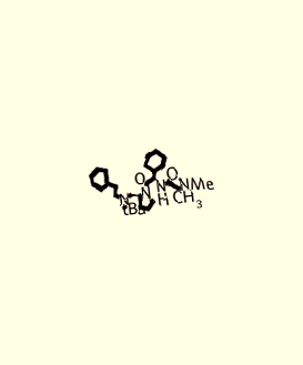 CN[C@@H](C)C(=O)N[C@H](C(=O)N1CCC[C@H]1CN(CCc1ccccc1)C(C)(C)C)C1CCCCC1